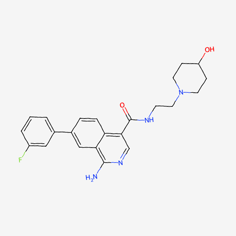 Nc1ncc(C(=O)NCCN2CCC(O)CC2)c2ccc(-c3cccc(F)c3)cc12